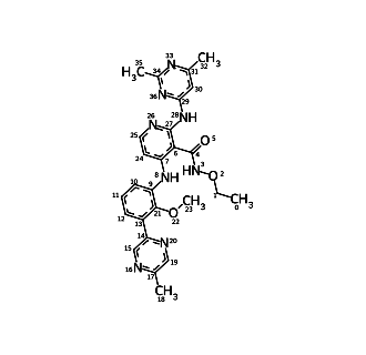 CCONC(=O)c1c(Nc2cccc(-c3cnc(C)cn3)c2OC)ccnc1Nc1cc(C)nc(C)n1